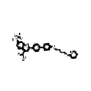 COC(=O)c1cc(-c2ccc(-c3ccc(OCCCCOC4CCCCO4)cc3)cc2)nc2cc(NS(C)(=O)=O)ccc12